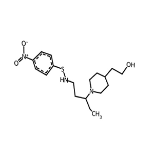 CCC(CCNSc1ccc([N+](=O)[O-])cc1)N1CCC(CCO)CC1